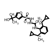 C[C@@H](c1cccc([C@H](C)C2CC2)c1NC(=O)NNS(=O)(=O)c1cc(C(C)(C)O)co1)C1CC1